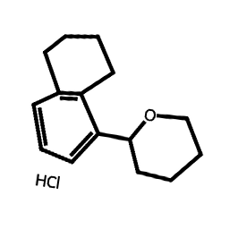 Cl.c1cc2c(c(C3CCCCO3)c1)CCCC2